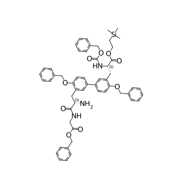 C[Si](C)(C)CCOC(=O)[C@H](Cc1cc(-c2ccc(OCc3ccccc3)c(C[C@H](N)C(=O)NCC(=O)OCc3ccccc3)c2)ccc1OCc1ccccc1)NC(=O)OCc1ccccc1